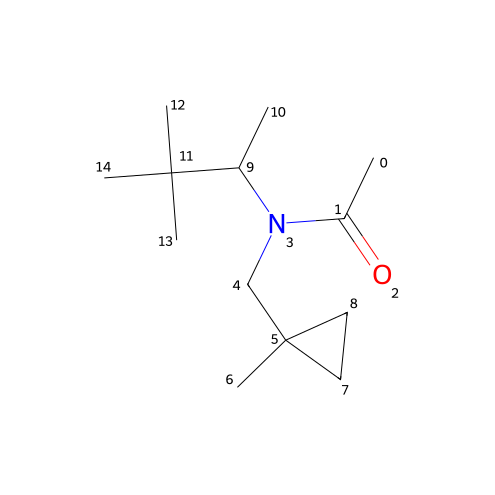 CC(=O)N(CC1(C)CC1)C(C)C(C)(C)C